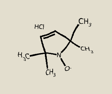 CC1(C)C=CC(C)(C)N1[O].Cl